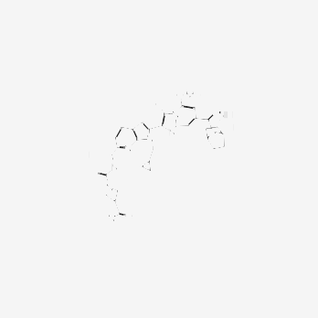 COc1cc(C(=O)N2[C@H]3CC[C@@H]2[C@H](N)C3)cc2nc(-c3cc4ccc([C@@H](C)NC(=O)N5CC(C(N)=O)C5)nc4n3CC3CC3)c(C)n12